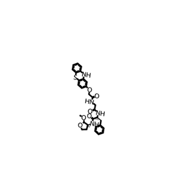 COC1OCC[C@@H]1NC(=O)[C@H](Cc1ccccc1)NC(=O)CNC(=O)COc1ccc2c(c1)Nc1ccccc1S2